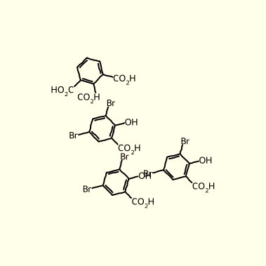 O=C(O)c1cc(Br)cc(Br)c1O.O=C(O)c1cc(Br)cc(Br)c1O.O=C(O)c1cc(Br)cc(Br)c1O.O=C(O)c1cccc(C(=O)O)c1C(=O)O